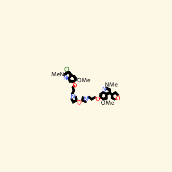 CNc1cc(C2CCOCC2)c2cc(OC)c(OCCCN3CC(OC4CCN(CCCOc5cc6nc(NC)c(Cl)cc6cc5OC)C4)C3)cc2n1